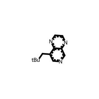 CC(C)(C)Cc1cncc2nccnc12